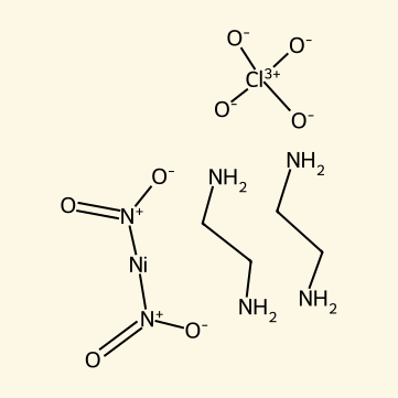 NCCN.NCCN.O=[N+]([O-])[Ni][N+](=O)[O-].[O-][Cl+3]([O-])([O-])[O-]